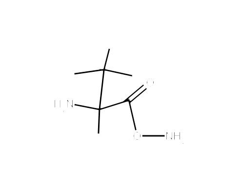 CC(C)(C)C(C)(N)C(=O)ON